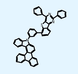 c1ccc(-c2nc(-c3ccccc3)c3sc4c(-c5cccc(-n6c7ccccc7c7c8c9ccccc9c9ccccc9c8ccc76)c5)cccc4c3n2)cc1